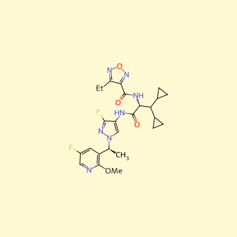 CCc1nonc1C(=O)N[C@H](C(=O)Nc1cn([C@@H](C)c2cc(F)cnc2OC)nc1F)C(C1CC1)C1CC1